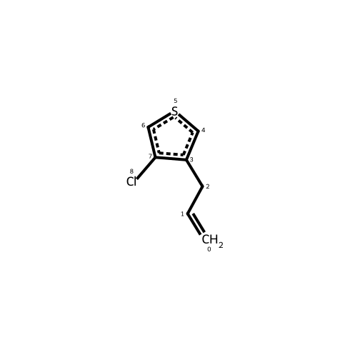 C=CCc1cscc1Cl